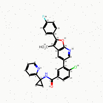 O=C(NC1(c2ccccn2)CC1)c1ccc(Cl)c(-c2cnc3oc(-c4ccc(F)cc4)c(C(=O)O)c3c2)c1